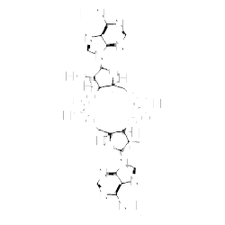 Nc1ncnc2c1ncn2[C@@H]1O[C@@H]2COP(=O)(O)O[C@H]3[C@@H](F)[C@H](n4cnc5c(N)ncnc54)O[C@@H]3CO[P@](=O)(S)O[C@H]2[C@H]1O